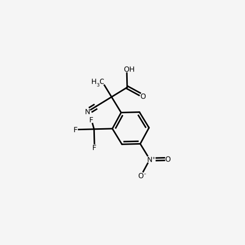 CC(C#N)(C(=O)O)c1ccc([N+](=O)[O-])cc1C(F)(F)F